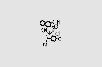 CN(C)CC[C@H](CN1CC[S@@+]([O-])c2c(C#N)cc3ccccc3c2C1=O)c1ccc(Cl)c(Cl)c1